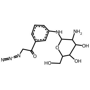 [N-]=[N+]=NCC(=O)c1cccc(NC2OC(CO)C(O)C(O)C2N)c1